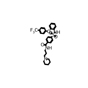 O=C(NCCCN1CCCCC1)c1ccc(S(=O)(=O)Nc2ccccc2Oc2ccc(C(F)(F)F)cc2)cc1